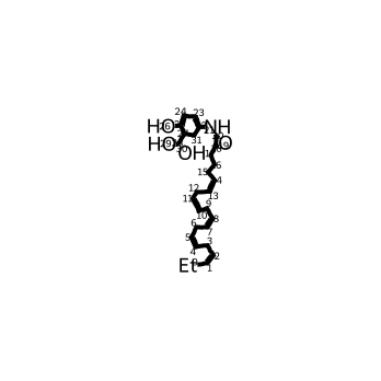 CC/C=C\C/C=C\C/C=C\C/C=C\C/C=C\CCCC1OC1NC1=CC=C(O)C(C(O)O)C1